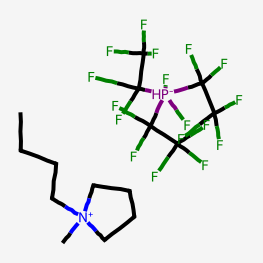 CCCC[N+]1(C)CCCC1.FC(F)(F)C(F)(F)[PH-](F)(F)(C(F)(F)C(F)(F)F)C(F)(F)C(F)(F)F